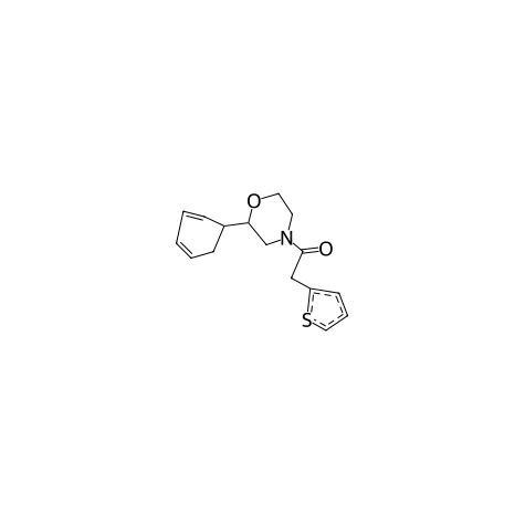 O=C(Cc1cccs1)N1CCOC(C2C=CC=CC2)C1